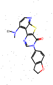 CCN(C)c1ccnc2sc3c(=O)n(-c4ccc5c(c4)CCO5)cnc3c12